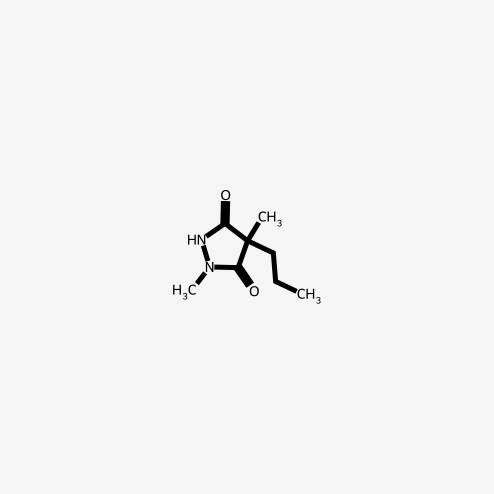 CCCC1(C)C(=O)NN(C)C1=O